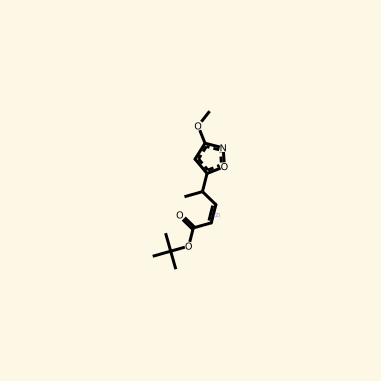 COc1cc(C(C)/C=C\C(=O)OC(C)(C)C)on1